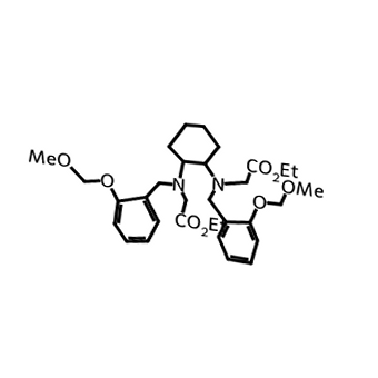 CCOC(=O)CN(Cc1ccccc1OCOC)C1CCCCC1N(CC(=O)OCC)Cc1ccccc1OCOC